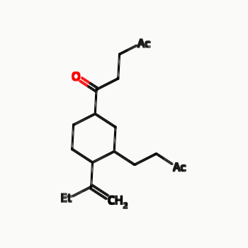 C=C(CC)C1CCC(C(=O)CCC(C)=O)CC1CCC(C)=O